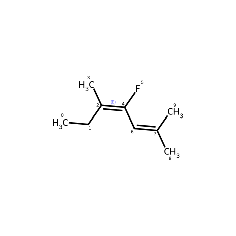 CC/C(C)=C(/F)C=C(C)C